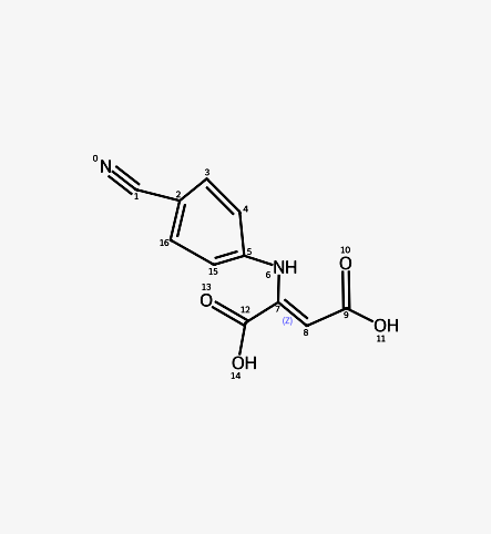 N#Cc1ccc(N/C(=C\C(=O)O)C(=O)O)cc1